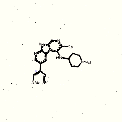 CCN1CCC(Nc2c(C#N)ncc3[nH]c4ncc(/C(C=N)=C/NC)cc4c23)CC1